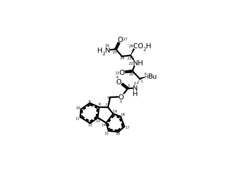 CC[C@H](C)[C@H](NC(=O)OCC1c2ccccc2-c2ccccc21)C(=O)N[C@@H](CC(N)=O)C(=O)O